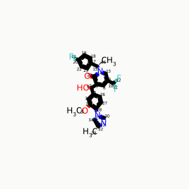 COc1cc(C(O)c2cc(C(F)F)cn([C@@H](C)c3ccc(F)cc3)c2=O)ccc1-n1cnc(C)c1